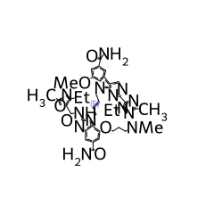 CCc1nc(C)oc1C(=O)Nc1nc2cc(C(N)=O)cc(OCCCNC)c2n1C/C=C/Cn1c2nc(-c3nc(C)nn3CC)ncc2c2cc(C(N)=O)cc(OC)c21